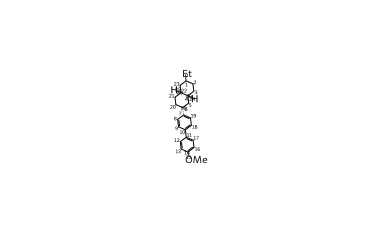 CCC1CC[C@@H]2C[C@H](c3ccc(-c4ccc(OC)cc4)cc3)CC[C@@H]2C1